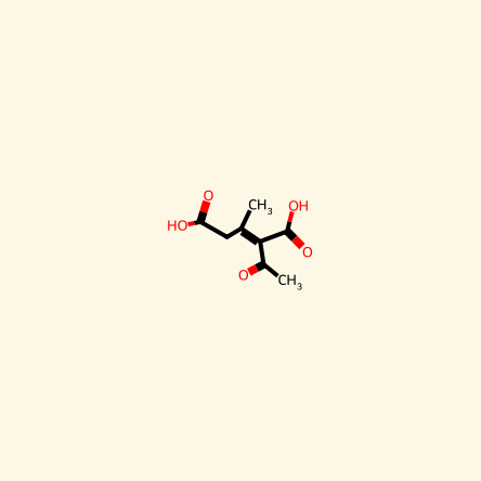 CC(=O)C(C(=O)O)=C(C)CC(=O)O